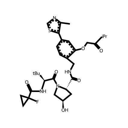 Cc1ncsc1-c1ccc(CNC(=O)[C@@H]2C[C@@H](O)CN2C(=O)[C@@H](NC(=O)C2(F)CC2)C(C)(C)C)c(OCC(=O)C(C)C)c1